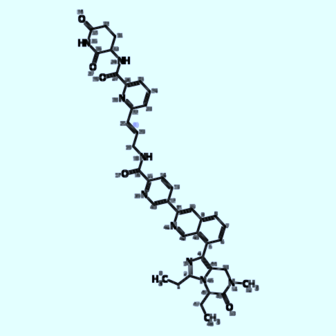 CCc1nc(-c2cccc3cc(-c4ccc(C(=O)NC/C=C/c5cccc(C(=O)NC6CCC(=O)NC6=O)n5)nc4)ncc23)c2n1C(CC)C(=O)N(C)C2